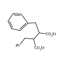 CCOC(=O)C(Cc1ccccc1)C(CC(C)C)C(=O)OCC